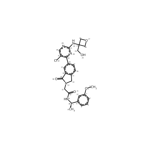 COc1cccc([C@@H](C)NC(=O)CN2Cc3ccc(-c4nc(NC5(CO)COC5)ncc4Cl)cc3C2=O)c1